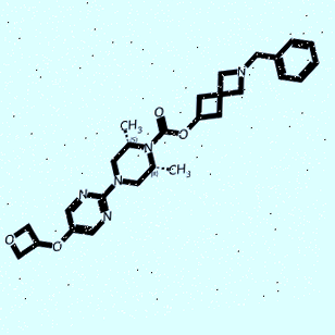 C[C@@H]1CN(c2ncc(OC3COC3)cn2)C[C@H](C)N1C(=O)OC1CC2(C1)CN(Cc1ccccc1)C2